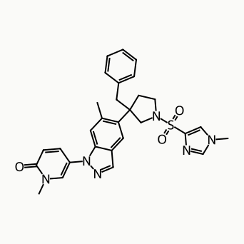 Cc1cc2c(cnn2-c2ccc(=O)n(C)c2)cc1C1(Cc2ccccc2)CCN(S(=O)(=O)c2cn(C)cn2)C1